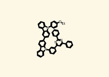 CCOc1ccc(-n2c3ccccc3c3cc(-c4ccc5c6ccccc6n(-c6cccc(-c7cc(-c8ccccc8)nc(-c8ccccc8)n7)c6)c5c4)ccc32)cc1